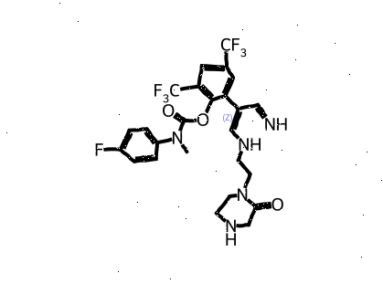 CN(C(=O)Oc1c(/C(C=N)=C/NCCN2CCNCC2=O)cc(C(F)(F)F)cc1C(F)(F)F)c1ccc(F)cc1